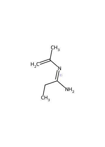 C=C(C)/N=C(/N)CC